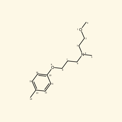 COCCN(C)CCCOc1ccc(C)cc1